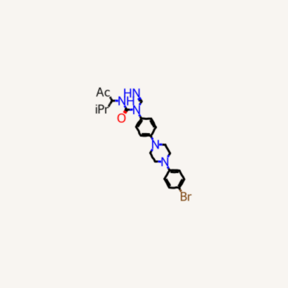 CC(=O)C(NC(=O)N(C=N)c1ccc(N2CCN(c3ccc(Br)cc3)CC2)cc1)C(C)C